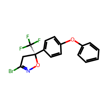 FC(F)(F)[C@@]1(c2ccc(Oc3ccccc3)cc2)CC(Br)=NO1